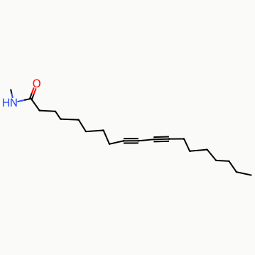 CCCCCCCC#CC#CCCCCCCCC(=O)NC